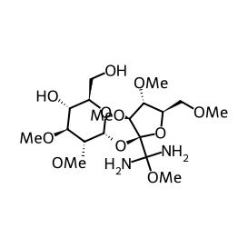 COC[C@H]1O[C@](O[C@H]2O[C@H](CO)[C@@H](O)[C@H](OC)[C@H]2OC)(C(N)(N)OC)[C@@H](OC)[C@@H]1OC